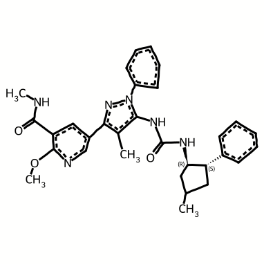 CNC(=O)c1cc(-c2nn(-c3ccccc3)c(NC(=O)N[C@@H]3CC(C)C[C@H]3c3ccccc3)c2C)cnc1OC